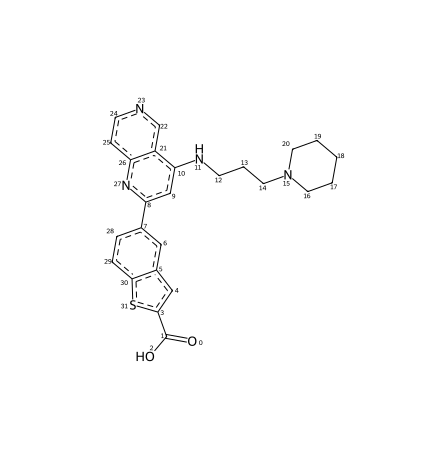 O=C(O)c1cc2cc(-c3cc(NCCCN4CCCCC4)c4cnccc4n3)ccc2s1